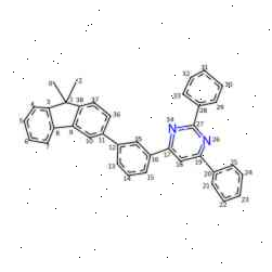 CC1(C)c2ccccc2-c2cc(-c3cccc(-c4cc(-c5ccccc5)nc(-c5ccccc5)n4)c3)ccc21